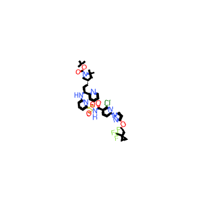 CC(C)(C)OC(=O)N1C[C@@H](CCC(Nc2cccc(S(=O)(=O)NC(=O)c3ccc(-n4ccc(OCCC5(C(F)(F)F)CC5)n4)nc3Cl)n2)c2ccccn2)CC1(C)C